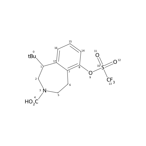 CC(C)(C)C1CN(C(=O)O)CCc2c(OS(=O)(=O)C(F)(F)F)cccc21